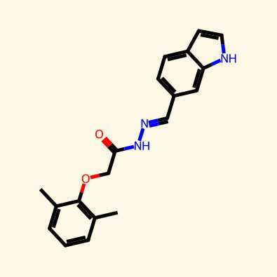 Cc1cccc(C)c1OCC(=O)NN=Cc1ccc2cc[nH]c2c1